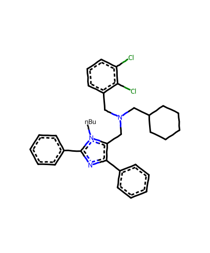 CCCCn1c(-c2ccccc2)nc(-c2ccccc2)c1CN(Cc1cccc(Cl)c1Cl)CC1CCCCC1